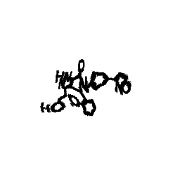 COc1ccccc1C1c2c(CCO)n[nH]c2C(=O)N1c1ccc(-c2ccon2)cc1